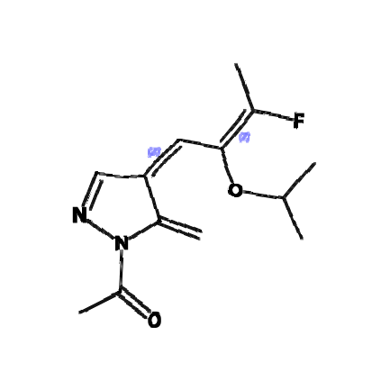 C=c1/c(=C\C(OC(C)C)=C(/C)F)cnn1C(C)=O